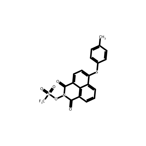 Cc1ccc(Sc2ccc3c4c(cccc24)C(=O)N(OS(=O)(=O)C(F)(F)F)C3=O)cc1